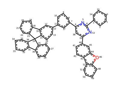 c1ccc(-c2nc(-c3cccc(-c4ccc5c(c4)-c4ccccc4C54c5ccccc5-c5ccccc54)c3)cc(-c3ccc4c(c3)oc3ccccc34)n2)cc1